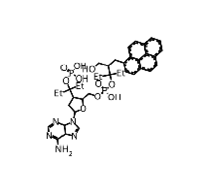 CCC(CC)(OP(=O)(O)OCC1OC(N2C=NC3C(N)=NC=NC32)CC1C(CC)(CC)OP(=O)(O)O)C(CO)Cc1ccc2ccc3cccc4ccc1c2c34